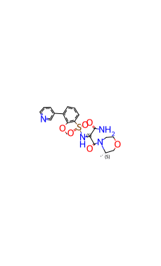 COc1c(-c2cccnc2)cccc1S(=O)(=O)N[C@@H](C(N)=O)C(=O)N1CCOC[C@@H]1C